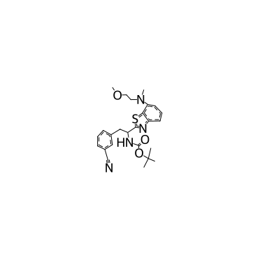 COCCN(C)c1cccc2nc(C(Cc3cccc(C#N)c3)NC(=O)OC(C)(C)C)sc12